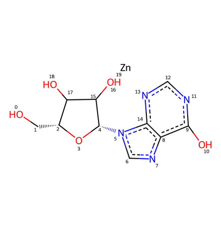 OC[C@H]1O[C@@H](n2cnc3c(O)ncnc32)C(O)C1O.[Zn]